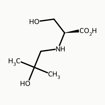 CC(C)(O)CN[C@@H](CO)C(=O)O